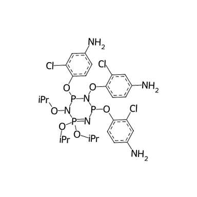 CC(C)ON1P(Oc2ccc(N)cc2Cl)N(Oc2ccc(N)cc2Cl)P(Oc2ccc(N)cc2Cl)N=P1(OC(C)C)OC(C)C